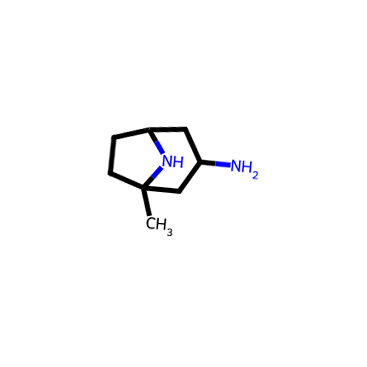 CC12CCC(CC(N)C1)N2